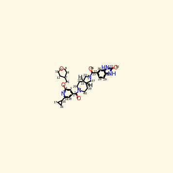 O=C(c1cc(OCC2CCOCC2)nc(C2CC2)c1)N1CC[C@@H]2CN(C(=O)c3ccc4[nH]c(=O)[nH]c4c3)C[C@@H]2CC1